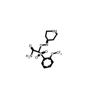 NC(=O)C(ON=C1CCNCC1)S(=O)(=O)c1ccccc1OC(F)(F)F